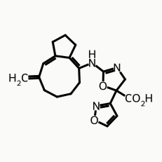 C=C1/C=C2/CCC/C2=C(\NC2=NCC(C(=O)O)(c3ccon3)O2)CCCC1